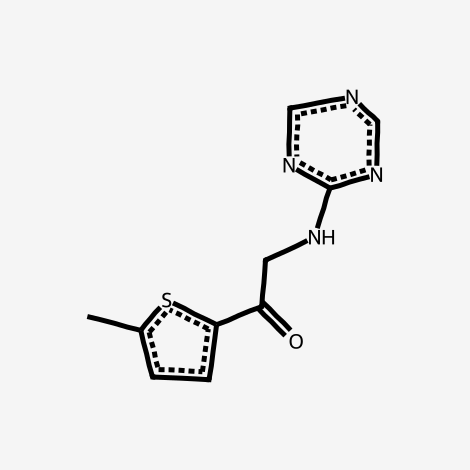 Cc1ccc(C(=O)CNc2ncncn2)s1